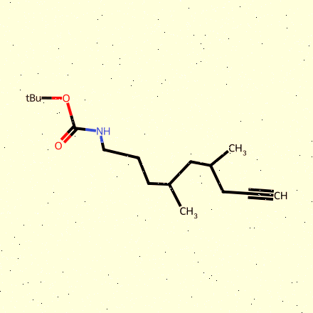 C#CCC(C)CC(C)CCCNC(=O)OC(C)(C)C